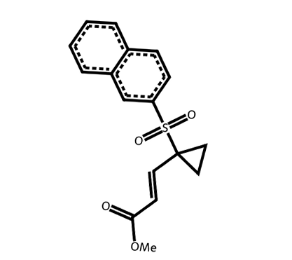 COC(=O)/C=C/C1(S(=O)(=O)c2ccc3ccccc3c2)CC1